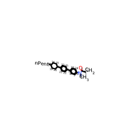 C=CC(=O)N(C)c1ccc(-c2ccc(C3CCC(CCCCC)CC3)cc2)cc1